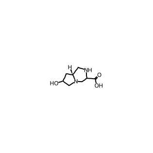 O=C(O)C1CN2CC(O)C[C@@H]2CN1